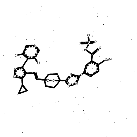 COc1ccc(-c2noc(C34CCC(C=Cc5c(-c6c(Cl)cncc6Cl)noc5C5CC5)(CC3)CC4)n2)cc1C(=O)NS(C)(=O)=O